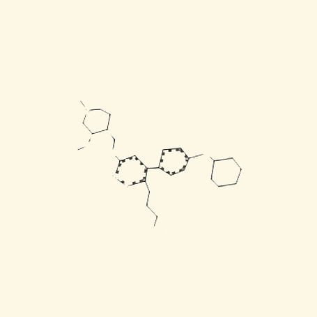 CCCCc1nnc(OC[C@@H]2CCN(C)C[C@@H]2OC)cc1-c1ccc(OC2CCCCC2)cc1